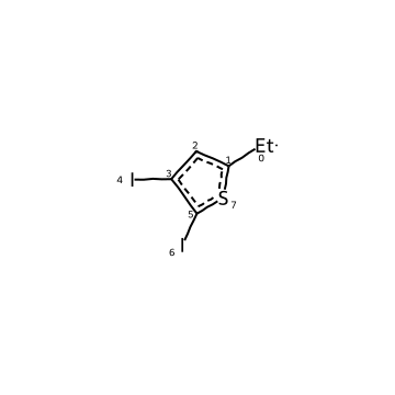 C[CH]c1cc(I)c(I)s1